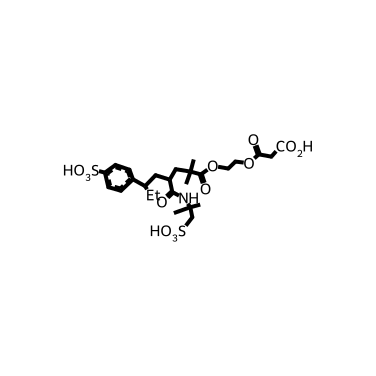 CCC(CC(CC(C)(C)C(=O)OCCOC(=O)CC(=O)O)C(=O)NC(C)(C)CS(=O)(=O)O)c1ccc(S(=O)(=O)O)cc1